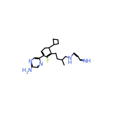 CC(CCC1=C(F)C(c2cnc(N)cn2)=CCC1C1CCC1)CN/C=C\C=N